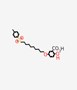 Cc1ccc(S(=O)(=O)CCCCCCCCCCOc2ccc(O)c(C(=O)O)c2)cc1